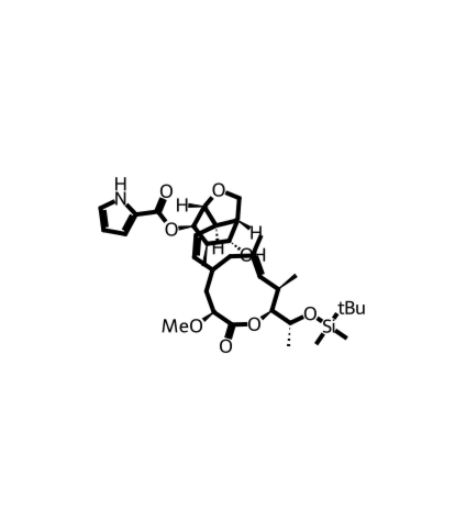 CO[C@H]1CC(/C=C\[C@@H]2[C@@H]3CO[C@H]2[C@H](OC(=O)c2ccc[nH]2)[C@H](C)[C@H]3O)C/C(C)=C/[C@@H](C)[C@@H]([C@@H](C)O[Si](C)(C)C(C)(C)C)OC1=O